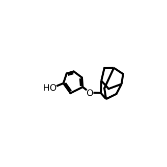 Oc1cccc(OC2C3CC4CC(C3)CC2C4)c1